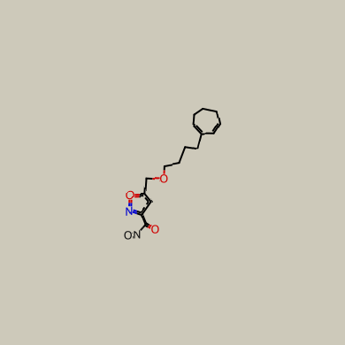 O=NC(=O)c1cc(COCCCCC2=CCCCC=C2)on1